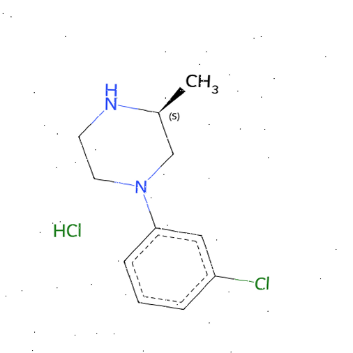 C[C@H]1CN(c2cccc(Cl)c2)CCN1.Cl